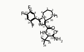 CN1CCCn2c(-c3cc(F)c(F)cc3F)nc(C(=O)NC(C(N)=O)C(C)(C)C)c2C1